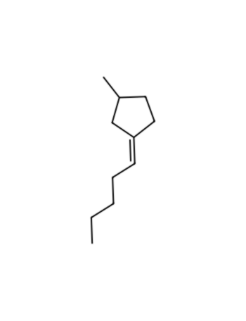 CCCCC=C1CCC(C)C1